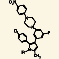 Cc1cc(-c2cc(F)cc(N3CCN(c4ccc([N+](=O)[O-])cc4)CC3)c2)c(-c2ccc(Cl)cc2)n1C(C)C